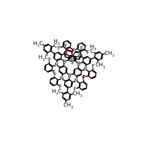 Cc1cc(C)c(-c2cc3c4c(c2)N(c2c(F)cccc2F)c2cc5c(cc2B4c2cc4c(cc2N3c2c(F)cccc2F)N(c2c(F)cccc2F)c2cc(-c3c(C)cc(C)cc3C)cc3c2B4c2sc4ccc(F)cc4c2N3c2c(F)cccc2F)B2c3sc4ccc(F)cc4c3N(c3c(F)cccc3F)c3cc(-c4c(C)cc(C)cc4C)cc(c32)N5c2c(F)cccc2F)c(C)c1